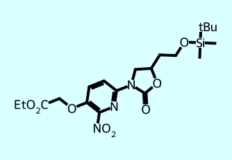 CCOC(=O)COc1ccc(N2CC(CCO[Si](C)(C)C(C)(C)C)OC2=O)nc1[N+](=O)[O-]